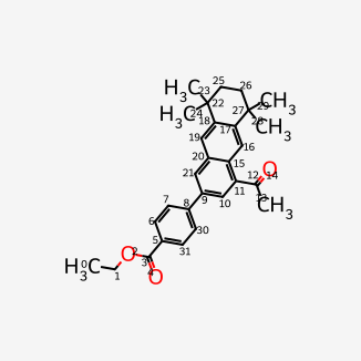 CCOC(=O)c1ccc(-c2cc(C(C)=O)c3cc4c(cc3c2)C(C)(C)CCC4(C)C)cc1